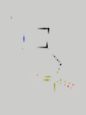 [CH2]S(=O)(=O)CC1CN(CC)C1